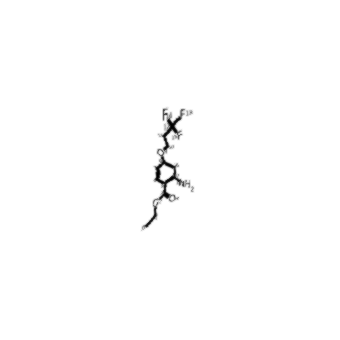 CCOC(=O)c1ccc(OCCC(F)(F)F)cc1N